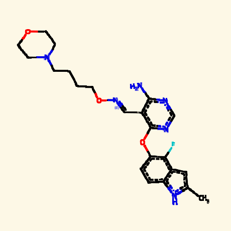 Cc1cc2c(F)c(Oc3ncnc(N)c3/C=N/OCCCCN3CCOCC3)ccc2[nH]1